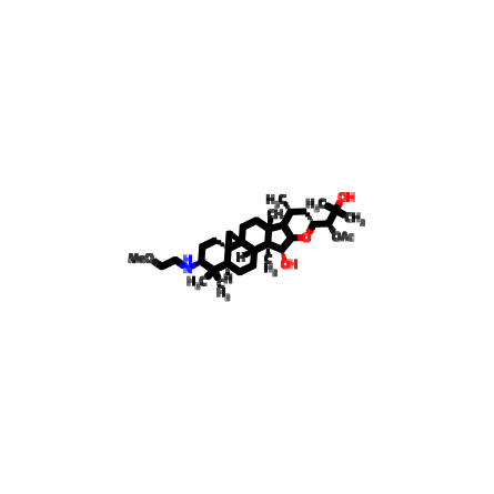 COCCN[C@H]1CC[C@]23C[C@]24CC[C@]2(C)C5C(O[C@@H]([C@H](OC(C)=O)C(C)(C)O)C[C@H]5C)[C@H](O)[C@@]2(C)[C@@H]4CC[C@H]3C1(C)C